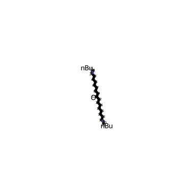 CCCC/C=C/CCCCCCCC(=O)CCCCCCC/C=C/CCCC